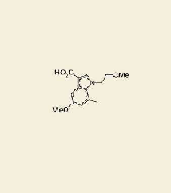 COCCn1cc(C(=O)O)c2cc(OC)cc(C)c21